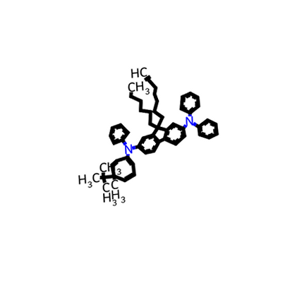 C#CCCCCCC1(CCCCCC)c2cc(N(C3=CC=CC(C)(C(C)(C)C)C=C3)c3ccccc3)ccc2-c2ccc(N(c3ccccc3)c3ccccc3)cc21